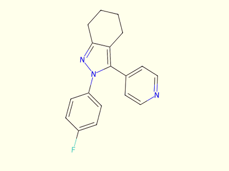 Fc1ccc(-n2nc3c(c2-c2ccncc2)CCCC3)cc1